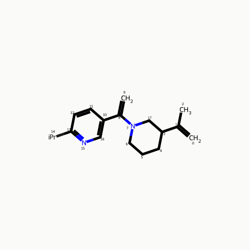 C=C(C)C1CCCN(C(=C)c2ccc(C(C)C)nc2)C1